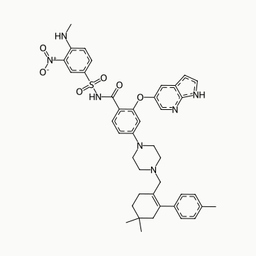 CNc1ccc(S(=O)(=O)NC(=O)c2ccc(N3CCN(CC4=C(c5ccc(C)cc5)CC(C)(C)CC4)CC3)cc2Oc2cnc3[nH]ccc3c2)cc1[N+](=O)[O-]